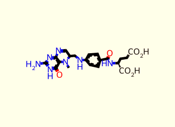 CN1c2c(nc(N)[nH]c2=O)N=CC1CNc1ccc(C(=O)N[C@@H](CCC(=O)O)C(=O)O)cc1